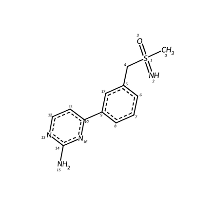 CS(=N)(=O)Cc1cccc(-c2ccnc(N)n2)c1